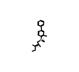 C=[N+](C/C(C)=C(\C)CC)c1ccc(-c2ccccc2)cc1C